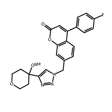 COC1(c2cn(Cc3ccc4c(-c5ccc(F)cc5)cc(=O)oc4c3)nn2)CCOCC1